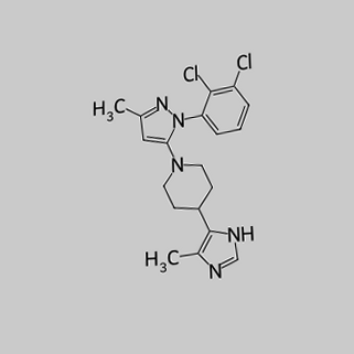 Cc1cc(N2CCC(c3[nH]cnc3C)CC2)n(-c2cccc(Cl)c2Cl)n1